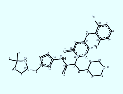 CC1(C)OC[C@@H](Cn2ccc(NC(=O)C(CC3CCOCC3)n3ncc(Oc4c(F)cccc4F)cc3=O)n2)O1